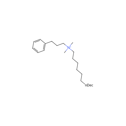 CCCCCCCCCCCCCCCC[N+](C)(C)CCCc1ccccc1